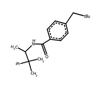 CC(C)C(C)(C)C(C)NC(=O)c1ccc(CC(C)(C)C)cc1